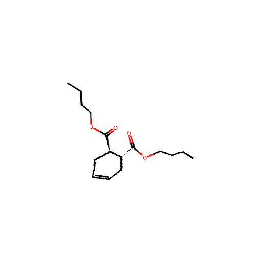 CCCCOC(=O)[C@@H]1CC=CC[C@H]1C(=O)OCCCC